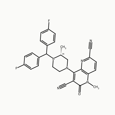 C[C@@H]1CN(c2c(C#N)c(=O)n(C)c3ccc(C#N)nc23)CCN1C(c1ccc(F)cc1)c1ccc(F)cc1